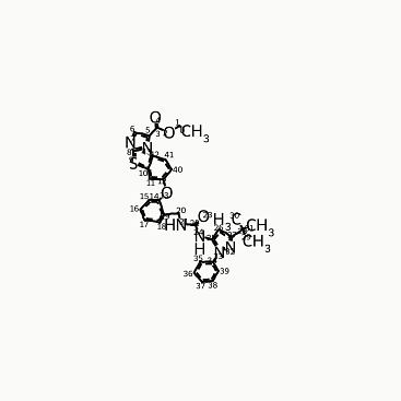 CCOC(=O)c1cnc2sc3cc(Oc4ccccc4CNC(=O)Nc4cc(C(C)(C)C)nn4-c4ccccc4)ccc3n12